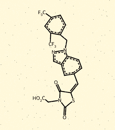 O=C(O)CN1C(=O)SC(=Cc2ccc3c(cnn3Cc3ccc(C(F)(F)F)cc3C(F)(F)F)c2)C1=O